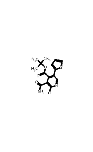 CC(C)(C)OC(=O)c1c(-c2cccs2)cnc(Cl)c1C(N)=O